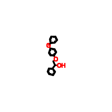 OC(COc1ccc(Oc2ccccc2)cc1)c1ccccc1